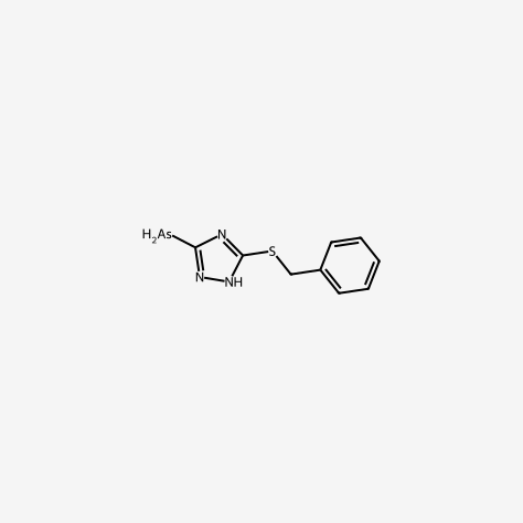 [AsH2]c1n[nH]c(SCc2ccccc2)n1